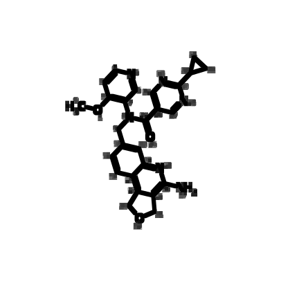 COc1ccncc1N(Cc1ccc2c3c(c(N)nc2c1)COC3)C(=O)c1cnc(C2CC2)nc1